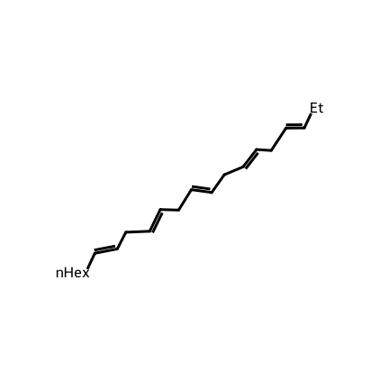 CCC=CCC=CCC=CCC=CCC=CCCCCCC